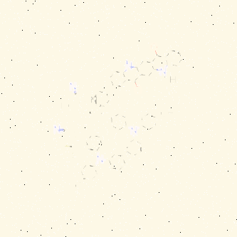 CSC(=S)SC(C#N)CC(CC(CC(C)(C)C#N)c1ccc(-c2ccc3c(c2)c(=O)c2cc4c(cc2n3C)c(=O)c2ccccc2n4C)cc1)c1ccc(N(c2ccc(C)cc2)c2ccc(C3(c4ccc(N(c5ccc(C)cc5)c5ccc(C)cc5)cc4)CCCCC3)cc2)cc1